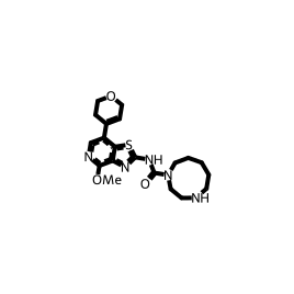 COc1ncc(C2=CCOCC2)c2sc(NC(=O)N3CCCCCNCC3)nc12